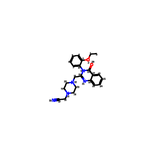 CCOc1ccccc1-n1c(CN2CCN(CC#N)CC2)nc2ccccc2c1=O